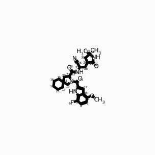 COc1ccc(F)c2[nH]c(C(=O)N3CC4(CCCCC4)CC3C(=O)NC(C#N)CC3CC(C)(C)NC3=O)cc12